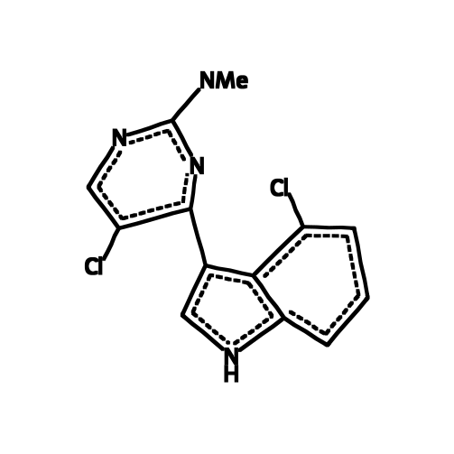 CNc1ncc(Cl)c(-c2c[nH]c3cccc(Cl)c23)n1